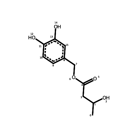 CC(O)CC(=O)OCc1ccc(O)c(O)c1